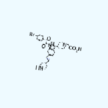 O=C(O)CN1CCC(c2nn(C(=O)C(=O)c3ccc(Br)cc3)c3cc(/C=C/C4CCNCC4)ccc23)CC1